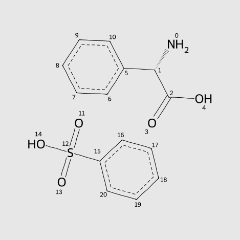 N[C@H](C(=O)O)c1ccccc1.O=S(=O)(O)c1ccccc1